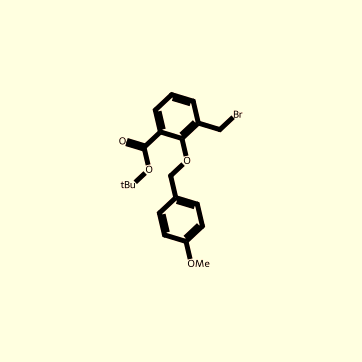 COc1ccc(COc2c(CBr)cccc2C(=O)OC(C)(C)C)cc1